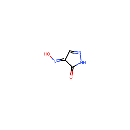 O=C1NN=CC1=NO